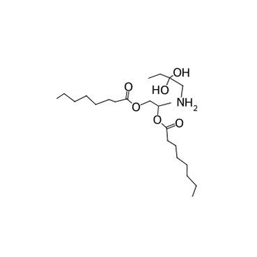 CCC(O)(O)CN.CCCCCCCC(=O)OCC(C)OC(=O)CCCCCCC